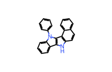 c1ccc(-n2c3ccccc3c3[nH]c4ccc5ccccc5c4c32)cc1